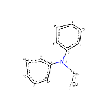 CCC[CH2][Sn][N](c1ccccc1)c1ccccc1